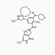 CCN(c1cc(C2CN(C)NC23CCCCCCCC3)cc(C(=O)NCc2c(C)cc(C)[nH]c2=O)c1C)C1CCOCC1